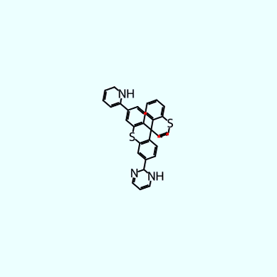 C1=CCNC(c2ccc3c(c2)Sc2cc(C4N=CC=CN4)ccc2C32c3ccccc3Sc3ccccc32)=C1